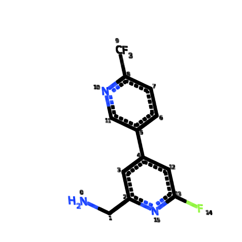 NCc1cc(-c2ccc(C(F)(F)F)nc2)cc(F)n1